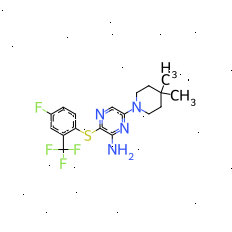 CC1(C)CCN(c2cnc(Sc3ccc(F)cc3C(F)(F)F)c(N)n2)CC1